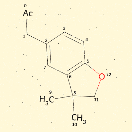 CC(=O)Cc1ccc2c(c1)C(C)(C)CO2